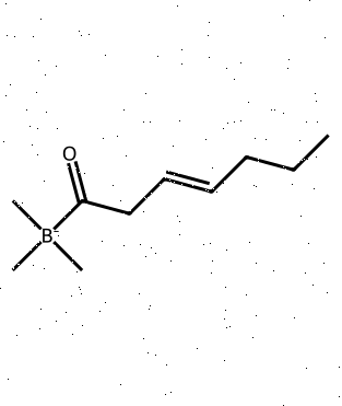 CCC/C=C/CC(=O)[B-](C)(C)C